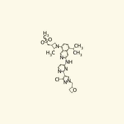 CC(C)c1ccc(N2C[C@H](CS(C)(=O)=O)[C@H]2C)c2cnc(Nc3ccnc(-c4cn(CC5CCO5)nc4Cl)n3)cc12